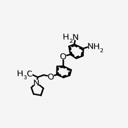 CC(COc1cccc(Oc2ccc(N)c(N)c2)c1)N1CCCC1